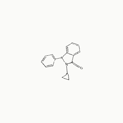 O=c1c2ccccc2n(-c2ccccc2)n1C1CC1